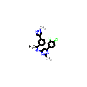 Cc1nc(NC(C)c2cccc(-c3cnn(C)c3)c2)cc(-c2ccc(Cl)c(Cl)c2)n1